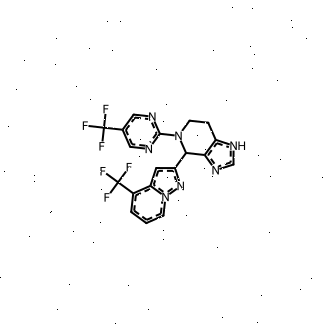 FC(F)(F)c1cnc(N2CCc3[nH]cnc3C2c2cc3c(C(F)(F)F)cccn3n2)nc1